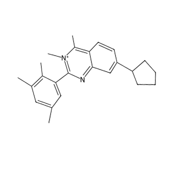 Cc1cc(C)c(C)c(-c2nc3cc(C4CCCC4)ccc3c(C)[n+]2C)c1